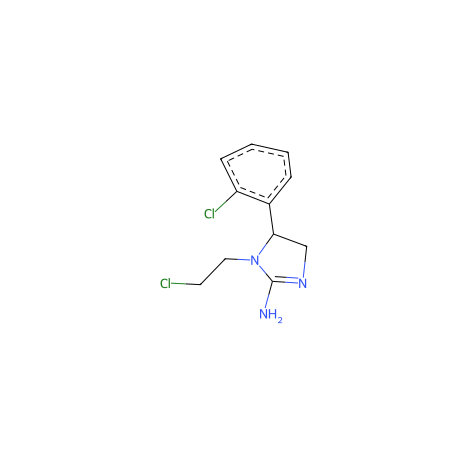 NC1=NCC(c2ccccc2Cl)N1CCCl